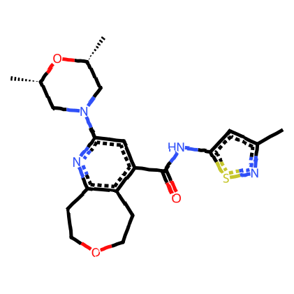 Cc1cc(NC(=O)c2cc(N3C[C@@H](C)O[C@@H](C)C3)nc3c2CCOCC3)sn1